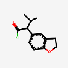 CC(C)C(C(=O)Cl)c1ccc2c(c1)CCO2